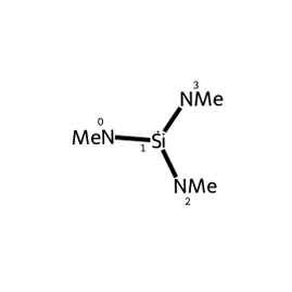 CN[Si](NC)NC